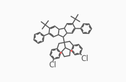 CC(C)(C)C1=CC2C3C=C(C(C)(C)C)C(c4ccccc4)=CC3C(C(Cc3ccc(Cl)cc3)(Cc3ccc(Cl)cc3)C3CCCC3)C2C=C1c1ccccc1